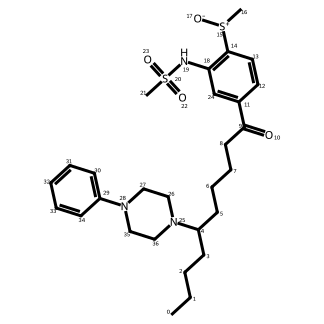 CCCCC(CCCCC(=O)c1ccc([S+](C)[O-])c(NS(C)(=O)=O)c1)N1CCN(c2ccccc2)CC1